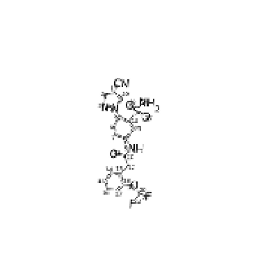 N#Cc1cnn(-c2ccc(NC(=O)Cc3ccccc3OC(F)F)cc2S(N)(=O)=O)c1